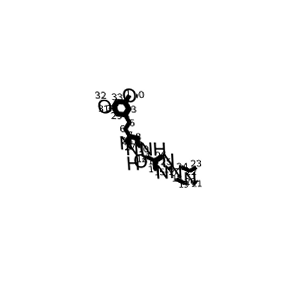 COc1cc(CCc2cc(NC(=O)c3cnc(N4CCN(C)C(C)C4)nc3)[nH]n2)cc(OC)c1